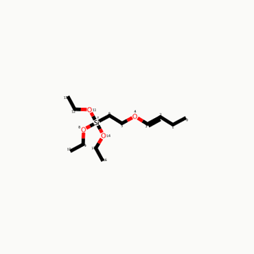 CCC=COCC[Si](OCC)(OCC)OCC